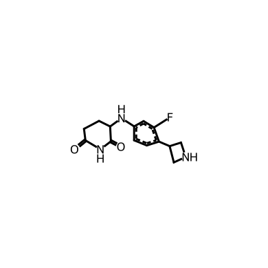 O=C1CCC(Nc2ccc(C3CNC3)c(F)c2)C(=O)N1